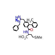 CSCCC(NC(=O)c1ccc(Cc2nnnn2Cc2ccccc2)cc1-c1ccccc1C)C(=O)O